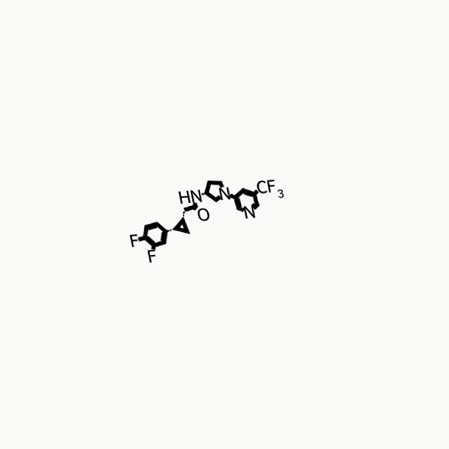 O=C(C[C@@H]1C[C@@H]1c1ccc(F)c(F)c1)N[C@@H]1CCN(c2cncc(C(F)(F)F)c2)C1